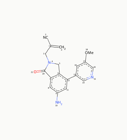 C=C(C#N)CN1Cc2c(cc(N)cc2-c2cncc(OC)c2)C1=O